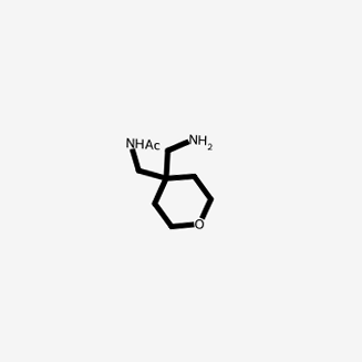 CC(=O)NCC1(CN)CCOCC1